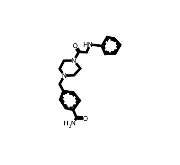 NC(=O)c1ccc(CN2CCN(C(=O)CNc3ccccc3)CC2)cc1